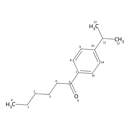 CCCCCC(=O)c1ccc(C(C)C)cc1